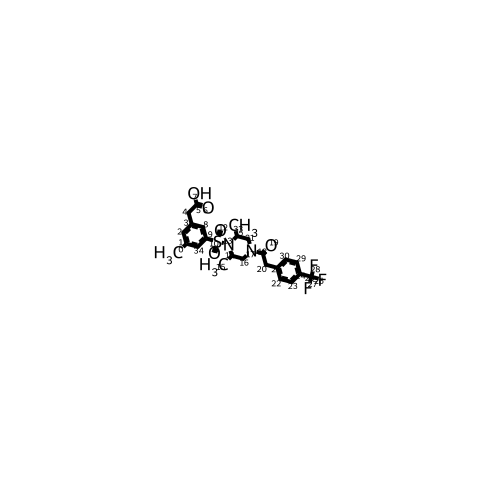 Cc1cc(CC(=O)O)cc(S(=O)(=O)N2C(C)CN(C(=O)Cc3ccc(C(F)(F)F)cc3)CC2C)c1